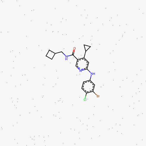 O=C(NCC1CCC1)c1cnc(Nc2ccc(Cl)c(Br)c2)cc1C1CC1